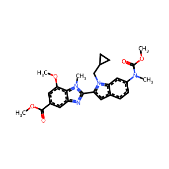 COC(=O)c1cc(OC)c2c(c1)nc(-c1cc3ccc(N(C)C(=O)OC)cc3n1CC1CC1)n2C